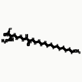 CCCCCCCCCCCCCCCC(=O)NCCCCC(NC)C(=O)I